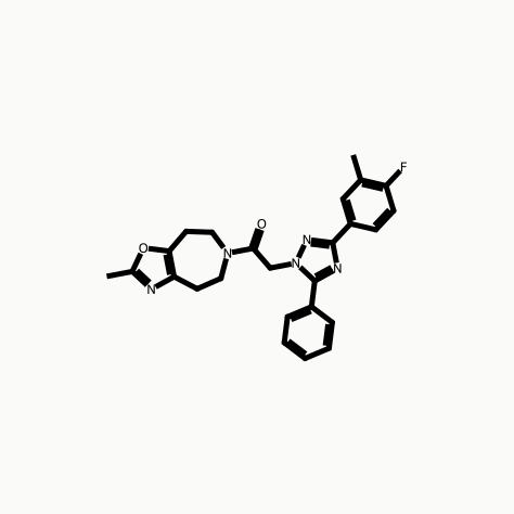 Cc1nc2c(o1)CCN(C(=O)Cn1nc(-c3ccc(F)c(C)c3)nc1-c1ccccc1)CC2